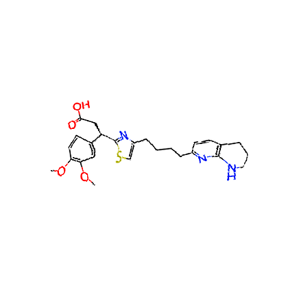 COc1ccc([C@@H](CC(=O)O)c2nc(CCCCc3ccc4c(n3)NCCC4)cs2)cc1OC